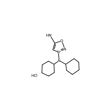 Cl.[NH-]c1c[n+](N(C2CCCCC2)C2CCCCC2)no1